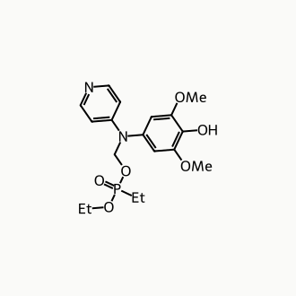 CCOP(=O)(CC)OCN(c1ccncc1)c1cc(OC)c(O)c(OC)c1